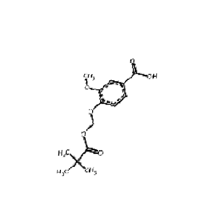 COc1cc(C(=O)O)ccc1OCOC(=O)C(C)(C)C